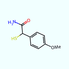 COc1ccc(C(S)C(N)=O)cc1